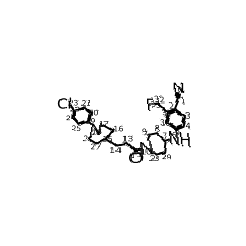 N#Cc1ccc(NC2CCN(C(=O)CCC3CCN(c4ccc(Cl)cc4)CC3)CC2)cc1CF